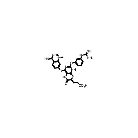 CN(C)c1cc(OC2=C3NC(=O)C(CCC(=O)O)N=C3NC(Oc3cccc(NC(=N)N)c3)=N2)ccc1C(=N)N